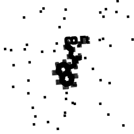 CCOC(=O)/C=C/CN(C)Cc1cccc2ccccc12